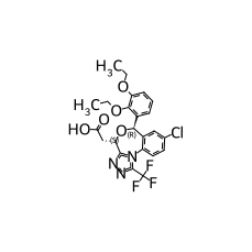 CCOc1cccc([C@@H]2O[C@@H](CC(=O)O)c3nnc(C(F)(F)F)n3-c3ccc(Cl)cc32)c1OCC